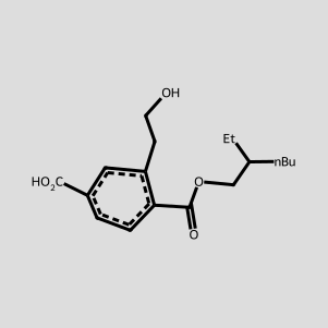 CCCCC(CC)COC(=O)c1ccc(C(=O)O)cc1CCO